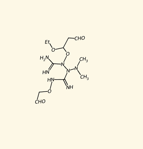 CCOC(CC=O)ON(C(=N)N)N(C(=N)NOCC=O)N(C)C